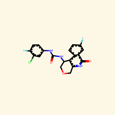 O=C(Nc1ccc(F)c(Cl)c1)NC1COCc2[nH]c(=O)c3cc(F)ccc3c21